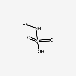 O=S(=O)(O)NS